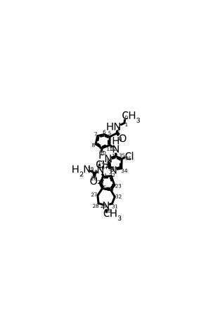 CCNC(=O)c1cccc(F)c1Nc1nc([N+](C)(C(N)=O)c2ccc3c(c2)CCN(C)CC3)ncc1Cl